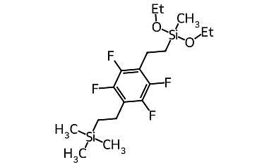 CCO[Si](C)(CCc1c(F)c(F)c(CC[Si](C)(C)C)c(F)c1F)OCC